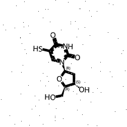 O=c1[nH]c(=O)n([C@H]2C[C@H](O)[C@@H](CO)O2)cc1S